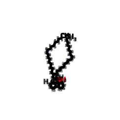 CCCCCCCC/C=C\CCCCCCCCC(CCCCCCCC/C=C\CCCCCCCC)CC(C)(C)[Si](O)(c1ccccc1)c1ccccc1